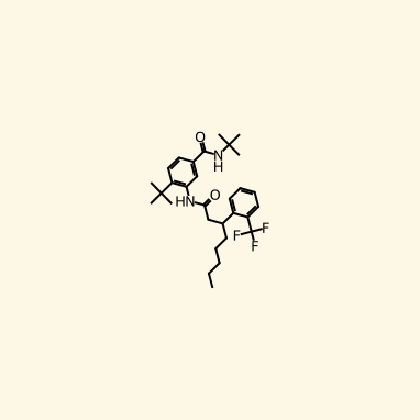 CCCCCC(CC(=O)Nc1cc(C(=O)NC(C)(C)C)ccc1C(C)(C)C)c1ccccc1C(F)(F)F